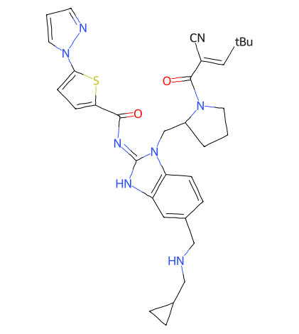 CC(C)(C)C=C(C#N)C(=O)N1CCCC1Cn1c(=NC(=O)c2ccc(-n3cccn3)s2)[nH]c2cc(CNCC3CC3)ccc21